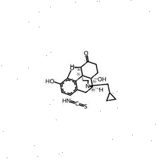 N=C=S.O=C1CC[C@@]2(O)[C@H]3Cc4ccc(O)c5c4[C@@]2(CCN3CC2CC2)[C@H]1O5